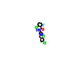 O=C(Nc1cnn(Cc2ccc(Cl)cc2Cl)c1)c1c(F)cccc1Cl